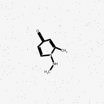 CNn1ccc(=O)cc1C